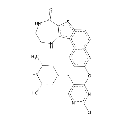 C[C@@H]1CN(Cc2cnc(Cl)nc2Oc2ccc3c(ccc4sc5c(c43)NCCNC5=O)n2)C[C@H](C)N1